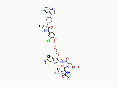 Cc1ncsc1-c1ccc(CNC(=O)[C@@H]2C[C@@H](O)CN2C(=O)[C@@H](NC(=O)C2(F)CC2)C(C)(C)C)c(OCCOCCOc2ccc(NC(=O)[C@H](C)[C@H]3CC[C@@H](c4ccnc5ccc(F)cc54)CC3)cc2Cl)c1